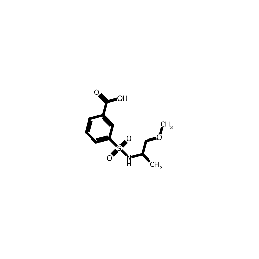 COCC(C)NS(=O)(=O)c1cccc(C(=O)O)c1